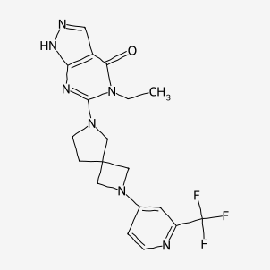 CCn1c(N2CCC3(CN(c4ccnc(C(F)(F)F)c4)C3)C2)nc2[nH]ncc2c1=O